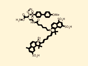 CC[N+]1=C(/C=C/C=C/C=C2\N(CCCCCC(=O)NCC[C@H](C(=O)ON)N(OC(C)C)S(=O)(=O)c3ccc(-c4ccc(OC)cc4)cc3)c3ccc4c(S(=O)(=O)O)cc(S(=O)(=O)O)cc4c3C2(C)C)C(C)(C)c2c1ccc1c(C)cc(S(=O)(=O)O)cc21